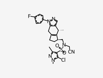 Cc1nn(C)c(Cl)c1S(=O)(=O)N(CC#N)C[C@H]1CCC2=C1[C@@H](C)c1cnn(-c3ccc(F)cc3)c1C2